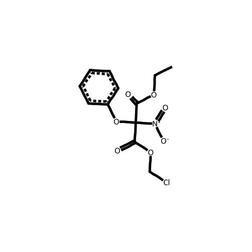 CCOC(=O)C(Oc1ccccc1)(C(=O)OCCl)[N+](=O)[O-]